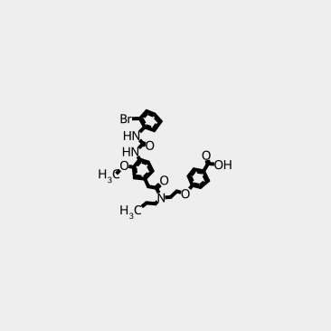 CCCN(CCOc1ccc(C(=O)O)cc1)C(=O)Cc1ccc(NC(=O)Nc2ccccc2Br)c(OC)c1